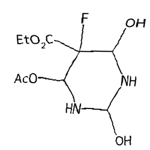 CCOC(=O)C1(F)C(O)NC(O)NC1OC(C)=O